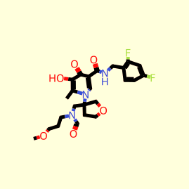 COCCCN(C=O)CC1(n2cc(C(=O)NCc3ccc(F)cc3F)c(=O)c(O)c2C)CCOC1